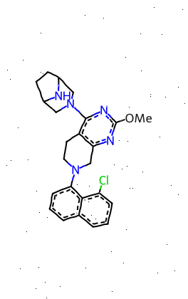 COc1nc2c(c(N3CC4CCC(C3)N4)n1)CCN(c1cccc3cccc(Cl)c13)C2